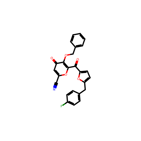 N#Cc1cc(=O)c(OCc2ccccc2)c(C(=O)c2ccc(Cc3ccc(F)cc3)o2)o1